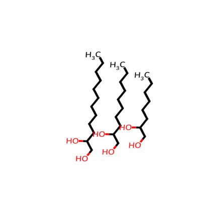 CCCCCCC(O)CO.CCCCCCCCC(O)CO.CCCCCCCCCCC(O)CO